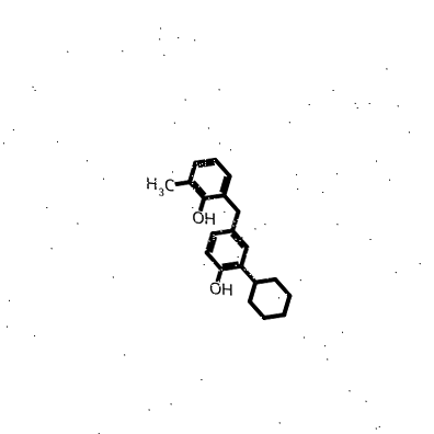 Cc1cccc(Cc2ccc(O)c(C3CCCCC3)c2)c1O